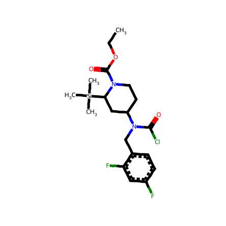 CCOC(=O)N1CCC(N(Cc2ccc(F)cc2F)C(=O)Cl)CC1[Si](C)(C)C